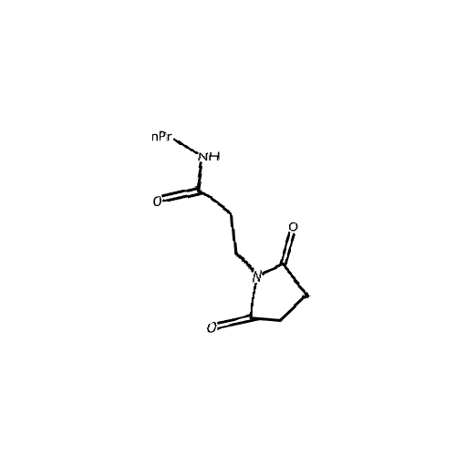 CCCNC(=O)CCN1C(=O)CCC1=O